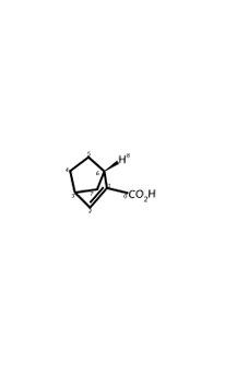 O=C(O)C1=CC2CC[C@H]1C2